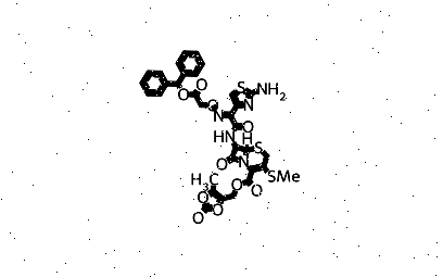 CSC1=C(C(=O)OCc2oc(=O)oc2C)N2C(=O)C(NC(=O)C(=NOCC(=O)OC(c3ccccc3)c3ccccc3)c3csc(N)n3)[C@@H]2SC1